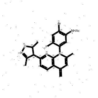 C=C1C=C(C)N(c2cc(NC(C)=O)c(Br)cc2F)c2nc(C3C(C)=NOC3C)ccc21